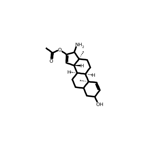 CC(=O)OC1=C[C@H]2[C@@H]3CCC4CC(O)C=C[C@]4(C)[C@@H]3CC[C@]2(C)C1N